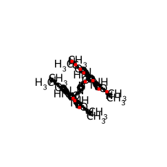 CN(C)CCCOc1ccc2nc(-c3ccc(-c4nc5ccc(OCCCN(C)C)cc5[nH]4)c(OCCN4CCN(CCOc5cc(-c6nc7ccc(OCCCN(C)C)cc7[nH]6)ccc5-c5nc6ccc(OCCCN(C)C)cc6[nH]5)CC4)c3)[nH]c2c1